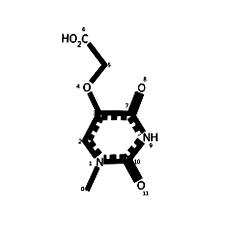 Cn1cc(OCC(=O)O)c(=O)[nH]c1=O